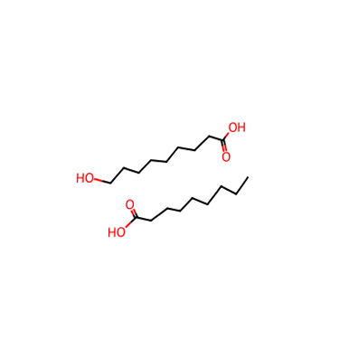 CCCCCCCCC(=O)O.O=C(O)CCCCCCCCO